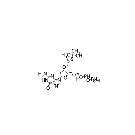 CC(C)(C)SSCOC1C[C@H](n2cnc3c(=O)[nH]c(N)nc32)O[C@@H]1COPOPOPO